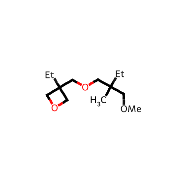 CCC(C)(COC)COCC1(CC)COC1